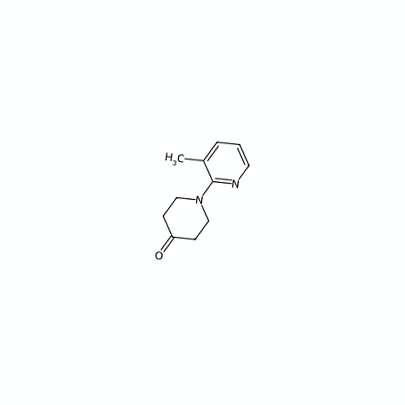 Cc1cccnc1N1CCC(=O)CC1